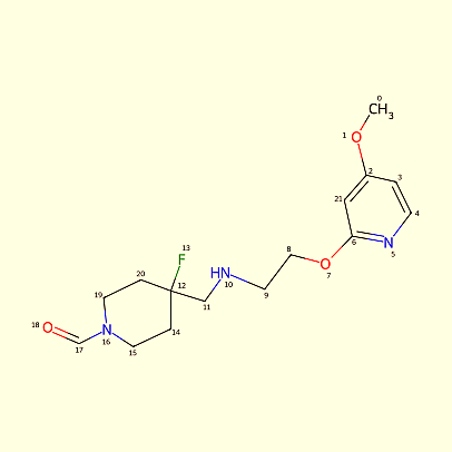 COc1ccnc(OCCNCC2(F)CCN(C=O)CC2)c1